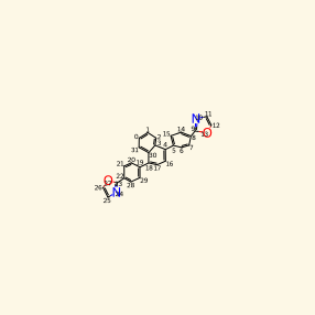 c1ccc2c(-c3ccc(-c4ncco4)cc3)ccc(-c3ccc(-c4ncco4)cc3)c2c1